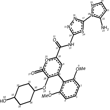 COc1cccc(OC)c1-c1cc(C(=O)Nc2nnc(-n3nccc3N)s2)oc(=O)c1OC1CCC(O)CC1